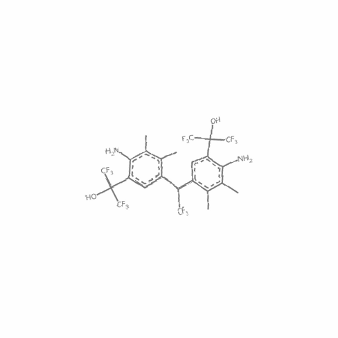 Cc1c(C(c2cc(C(O)(C(F)(F)F)C(F)(F)F)c(N)c(C)c2C)C(F)(F)F)cc(C(O)(C(F)(F)F)C(F)(F)F)c(N)c1C